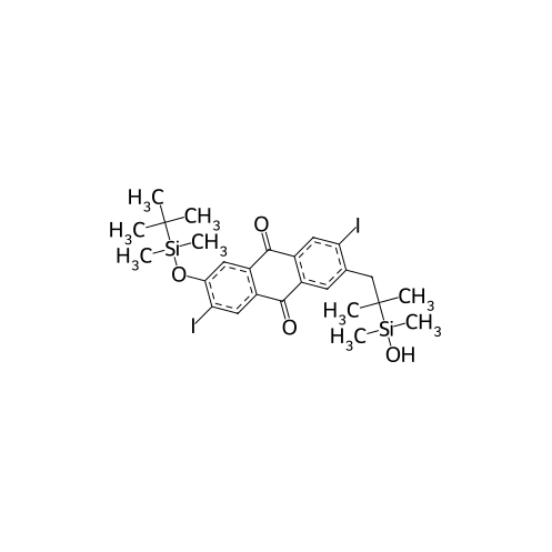 CC(C)(Cc1cc2c(cc1I)C(=O)c1cc(O[Si](C)(C)C(C)(C)C)c(I)cc1C2=O)[Si](C)(C)O